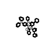 c1ccc(-c2cccc(N3c4cc(C5CCCCC5)cc5c4B(c4ccc(N(c6ccccc6)c6ccccc6)cc4N5c4ccccc4)c4oc5ccccc5c43)c2)cc1